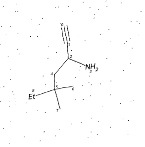 C#CC(N)CC(C)(C)CC